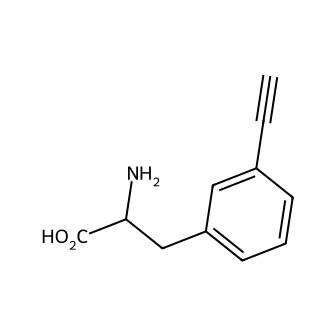 C#Cc1cccc(CC(N)C(=O)O)c1